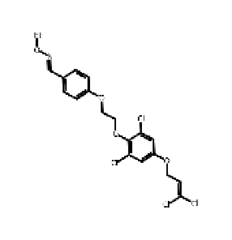 CCON=Cc1ccc(OCCOc2c(Cl)cc(OCC=C(Cl)Cl)cc2Cl)cc1